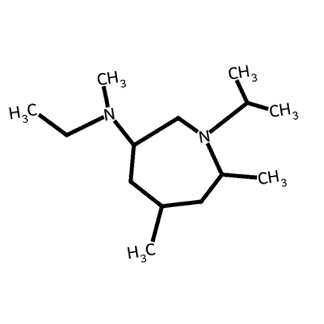 CCN(C)C1CC(C)CC(C)N(C(C)C)C1